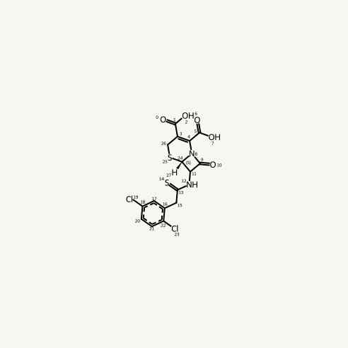 O=C(O)C1=C(C(=O)O)N2C(=O)C(NC(=S)Cc3cc(Cl)ccc3Cl)[C@@H]2SC1